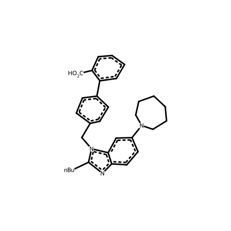 CCCCc1nc2ccc(N3CCCCCC3)cc2n1Cc1ccc(-c2ccccc2C(=O)O)cc1